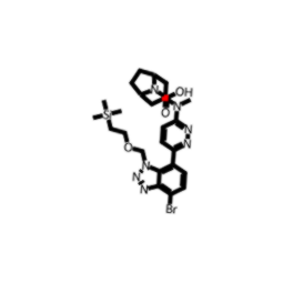 CN(c1ccc(-c2ccc(Br)c3nnn(COCC[Si](C)(C)C)c23)nn1)C1CC2CCC(C1)N2C(=O)O